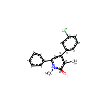 Cn1c(-c2ccccc2)cc(-c2cccc(Cl)c2)c(C#N)c1=O